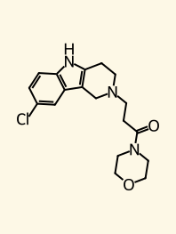 O=C(CCN1CCc2[nH]c3ccc(Cl)cc3c2C1)N1CCOCC1